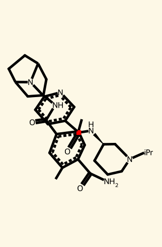 Cc1cc(C(=O)NC2CC3CCC(C2)N3c2ccc(C(=O)N[C@@H]3CCCN(C(C)C)C3)cn2)c(C)cc1C(N)=O